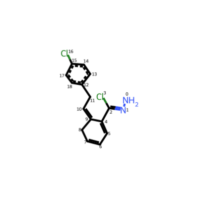 NN=C(Cl)C1=CC=CCC1=CCc1ccc(Cl)cc1